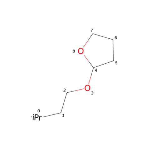 C[C](C)CCOC1CCCO1